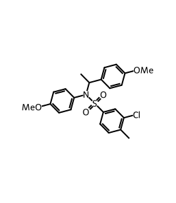 COc1ccc(C(C)N(c2ccc(OC)cc2)S(=O)(=O)c2ccc(C)c(Cl)c2)cc1